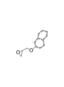 [c]1c(OCC2CO2)ccc2ccccc12